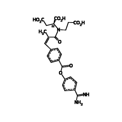 CC(=Cc1ccc(C(=O)Oc2ccc(C(=N)N)cc2)cc1)C(=O)N(CCC(=O)O)[C@@H](CC(=O)O)C(=O)O